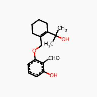 CC(C)(O)C1=C(COc2cccc(O)c2C=O)CCCC1